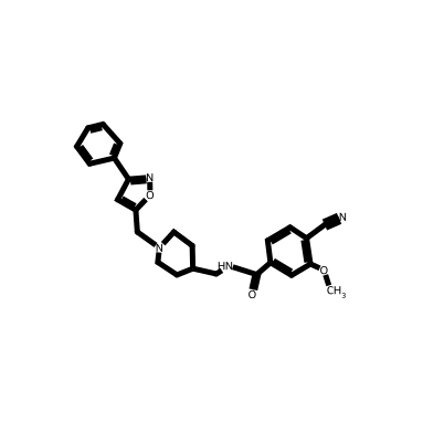 COc1cc(C(=O)NCC2CCN(Cc3cc(-c4ccccc4)no3)CC2)ccc1C#N